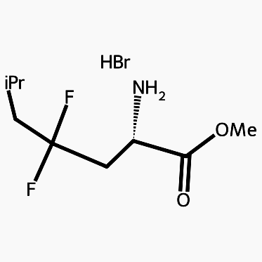 Br.COC(=O)[C@@H](N)CC(F)(F)CC(C)C